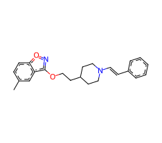 Cc1ccc2onc(OCCC3CCN(/C=C/c4ccccc4)CC3)c2c1